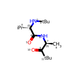 CC(C)[C@H](NC(C)(C)C)C(=O)N[C@@H](C)C(=O)C(C)(C)C